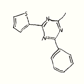 Cc1nc(-c2ccccc2)nc(-c2cccs2)n1